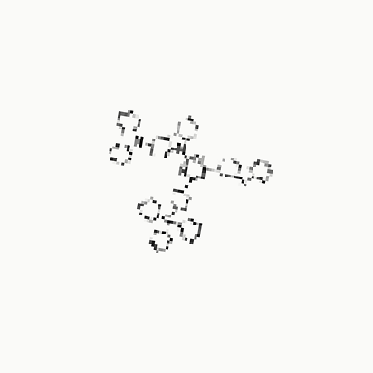 c1ccc(S(c2ccccc2)(c2ccccc2)c2ccc(-c3cc(-c4ccc5c(c4)sc4ccccc45)nc(-n4c5ccccc5c5cc(-n6c7ccccc7c7ccccc76)ccc54)n3)cc2)cc1